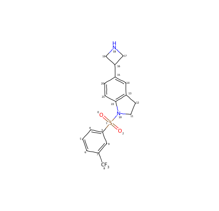 O=S(=O)(c1cccc(C(F)(F)F)c1)N1CCc2cc(C3CNC3)ccc21